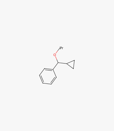 CC(C)OC(c1ccccc1)C1CC1